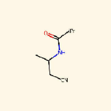 CC(CC#N)NC(=O)C(C)C